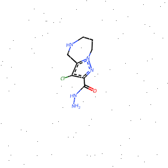 NNC(=O)c1nn2c(c1Cl)CNCCC2